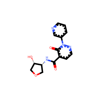 O=C(N[C@@H]1COC[C@@H]1O)c1ccnn(-c2cccnc2)c1=O